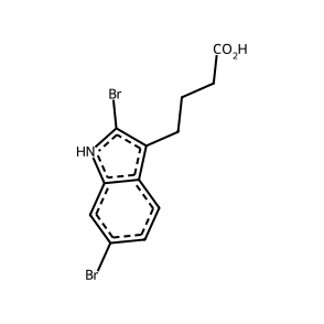 O=C(O)CCCc1c(Br)[nH]c2cc(Br)ccc12